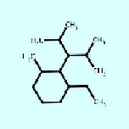 CCC1CCCC(C)C1[C](C(C)C)C(C)C